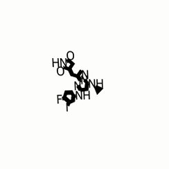 O=C1C/C(=C\c2cnn3c(NC4CC4)cc(Nc4ccc(F)c(I)c4)nc23)C(=O)N1